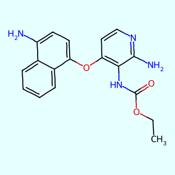 CCOC(=O)Nc1c(Oc2ccc(N)c3ccccc23)ccnc1N